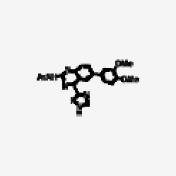 COc1ccc(-c2ccc3nc(NC(C)=O)nc(-c4nc[nH]n4)c3c2)cc1OC